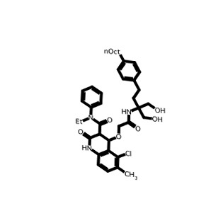 CCCCCCCCc1ccc(CCC(CO)(CO)NC(=O)COC2c3c(ccc(C)c3Cl)NC(=O)C2C(=O)N(CC)c2ccccc2)cc1